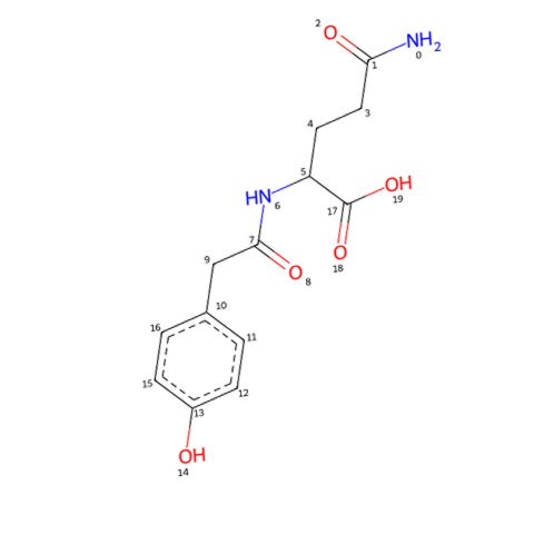 NC(=O)CCC(NC(=O)Cc1ccc(O)cc1)C(=O)O